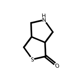 O=C1SCC2CNCC12